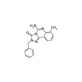 Cc1cccc2c1nc(N)n1c(=O)n(Cc3ccccc3)nc21